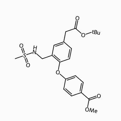 COC(=O)c1ccc(Oc2ccc(CC(=O)OC(C)(C)C)cc2CNS(C)(=O)=O)cc1